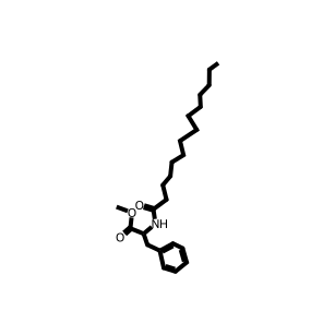 CCCCCCCCCCCCCC(=O)NC(Cc1ccccc1)C(=O)OC